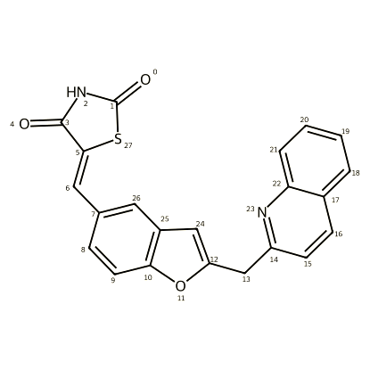 O=C1NC(=O)C(=Cc2ccc3oc(Cc4ccc5ccccc5n4)cc3c2)S1